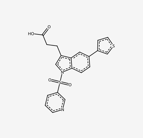 O=C(O)CCc1cn(S(=O)(=O)c2cccnc2)c2ccc(-c3ccsc3)cc12